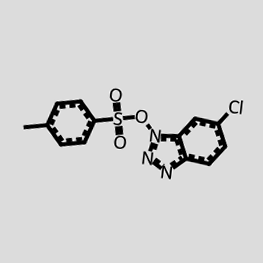 Cc1ccc(S(=O)(=O)On2nnc3ccc(Cl)cc32)cc1